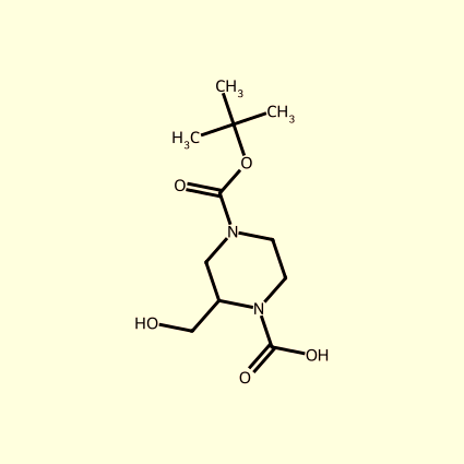 CC(C)(C)OC(=O)N1CCN(C(=O)O)C(CO)C1